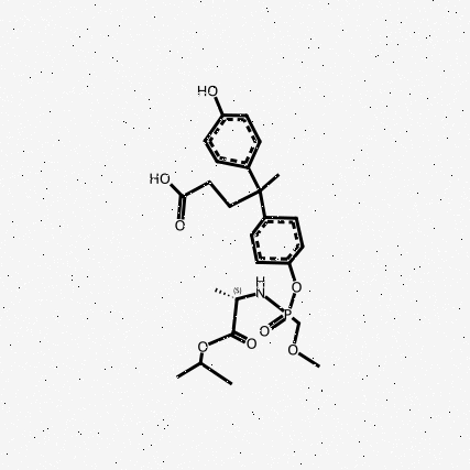 COCP(=O)(N[C@@H](C)C(=O)OC(C)C)Oc1ccc(C(C)(CCC(=O)O)c2ccc(O)cc2)cc1